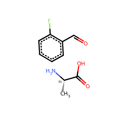 C[C@H](N)C(=O)O.O=Cc1ccccc1F